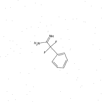 N=C(N)C(F)(F)c1ccccc1